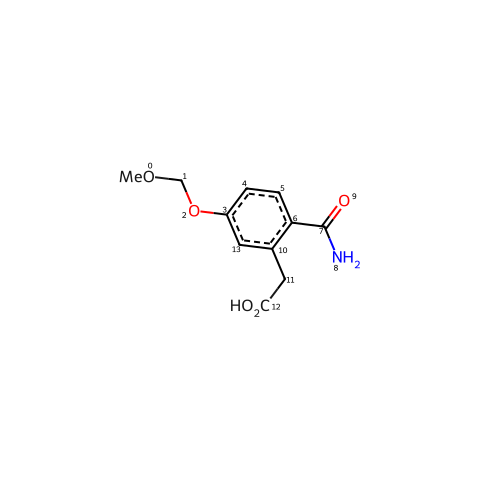 COCOc1ccc(C(N)=O)c(CC(=O)O)c1